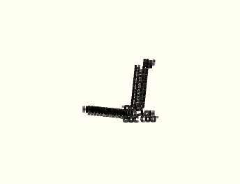 O.O.O.O.O.O.O.O.O.O.O.O.O.O.O.O.O.O.O.O.O.O.O.O.O.O.O.O=C([O-])CC(O)(CC(=O)[O-])C(=O)[O-].[Na+].[Na+].[Na+]